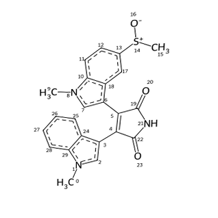 Cn1cc(C2=C(c3cn(C)c4ccc([S+](C)[O-])cc34)C(=O)NC2=O)c2ccccc21